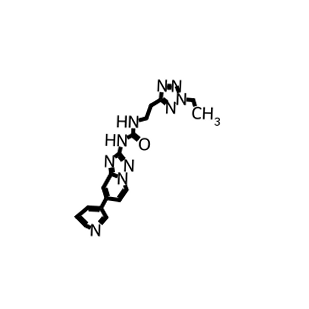 CCn1nnc(CCNC(=O)Nc2nc3cc(-c4cccnc4)ccn3n2)n1